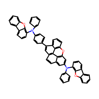 c1ccc(N(c2ccc(-c3cc4ccc5cc(N(c6ccccc6)c6cccc7c6oc6ccccc67)cc6c5c4c4c(cccc34)O6)cc2)c2cccc3c2oc2ccccc23)cc1